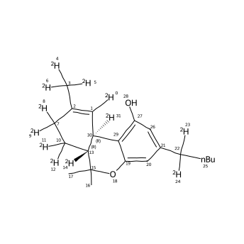 [2H]C1=C(C([2H])([2H])[2H])C([2H])([2H])C([2H])([2H])[C@@]2([2H])C(C)(C)Oc3cc(C([2H])([2H])CCCC)cc(O)c3[C@]12[2H]